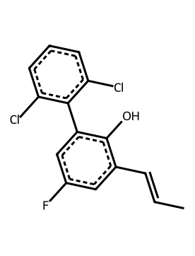 CC=Cc1cc(F)cc(-c2c(Cl)cccc2Cl)c1O